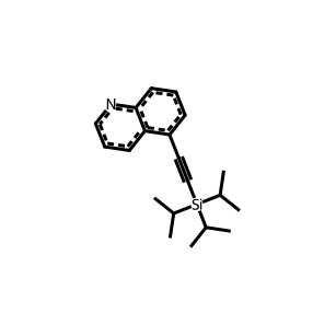 CC(C)[Si](C#Cc1cccc2ncccc12)(C(C)C)C(C)C